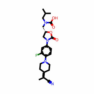 CC(C#N)=C1CCN(c2ccc(N3C[C@H](CN(CC(C)C)C(=O)O)OC3=O)cc2F)CC1